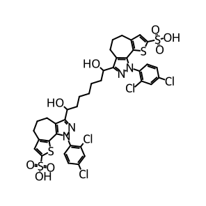 O=S(=O)(O)c1cc2c(s1)-c1c(c(C(O)CCCCCC(O)c3nn(-c4ccc(Cl)cc4Cl)c4c3CCCc3cc(S(=O)(=O)O)sc3-4)nn1-c1ccc(Cl)cc1Cl)CCC2